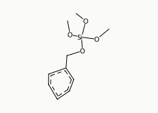 CO[Si](OC)(OC)OCc1ccccc1